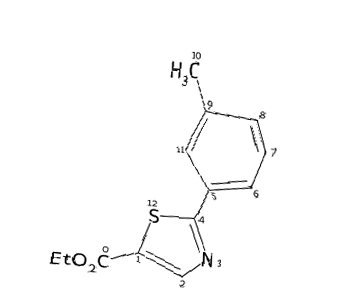 CCOC(=O)c1cnc(-c2cccc(C)c2)s1